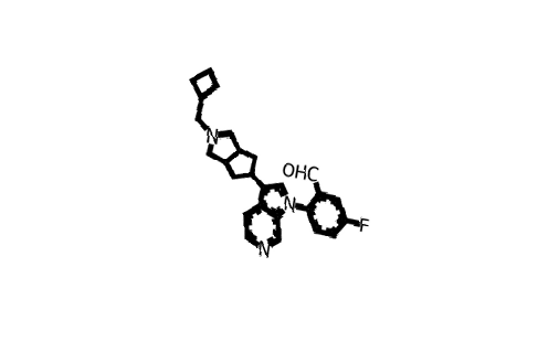 O=Cc1cc(F)ccc1-n1cc(C2CC3CN(CC4CCC4)CC3C2)c2ccncc21